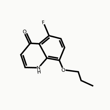 CCCOc1ccc(F)c2c(=O)cc[nH]c12